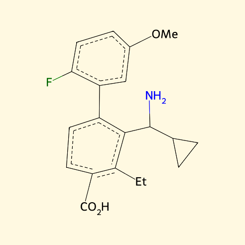 CCc1c(C(=O)O)ccc(-c2cc(OC)ccc2F)c1C(N)C1CC1